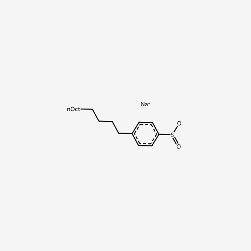 CCCCCCCCCCCCc1ccc(S(=O)[O-])cc1.[Na+]